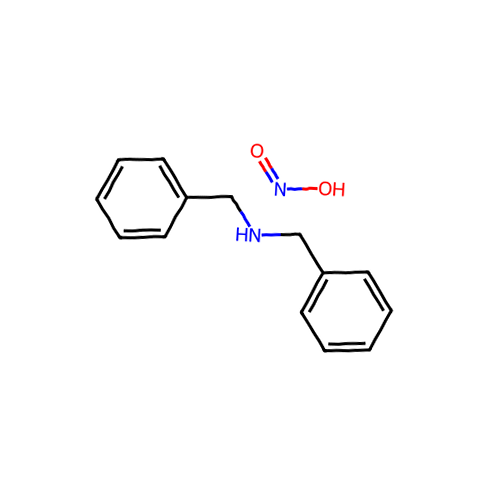 O=NO.c1ccc(CNCc2ccccc2)cc1